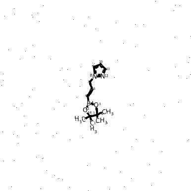 CC1(C)OB(C=CCn2cccn2)OC1(C)C